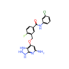 Nc1cc(OCc2cc(C(=O)Nc3cccc(Cl)c3)ccc2F)c2c(n1)NNN2